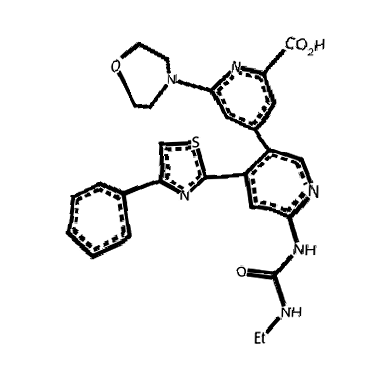 CCNC(=O)Nc1cc(-c2nc(-c3ccccc3)cs2)c(-c2cc(C(=O)O)nc(N3CCOCC3)c2)cn1